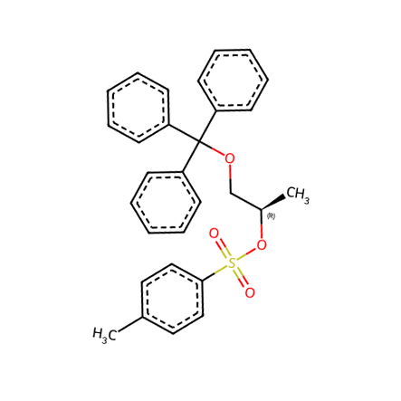 Cc1ccc(S(=O)(=O)O[C@H](C)COC(c2ccccc2)(c2ccccc2)c2ccccc2)cc1